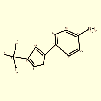 CC(F)(F)C1=CCC(c2ccc(N)cc2)=C1